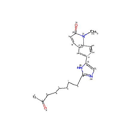 CCC(=O)CCCCCCc1ncc(-c2ccc3c(ccc(=O)n3C)c2)[nH]1